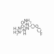 NCC(Nc1cc(C(N)=O)nc(-c2ccc(Oc3ccc(F)cc3)cc2)n1)C(N)=O